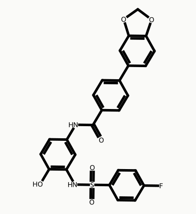 O=C(Nc1ccc(O)c(NS(=O)(=O)c2ccc(F)cc2)c1)c1ccc(-c2ccc3c(c2)OCO3)cc1